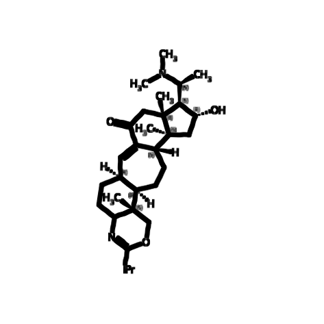 CC(C)C1=NC2CC[C@H]3C=C4C(=O)C[C@]5(C)[C@@H]([C@H](C)N(C)C)[C@H](O)C[C@@]5(C)[C@@H]4CC[C@H]3[C@]2(C)CO1